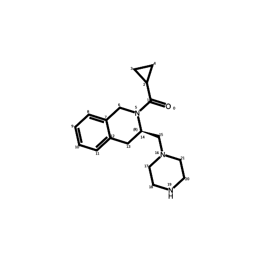 O=C(C1CC1)N1Cc2ccccc2C[C@@H]1CN1CCNCC1